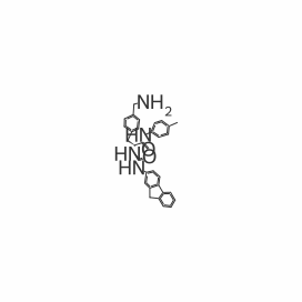 Cc1ccc(NC(=O)[C@H](Cc2ccc(CN)cc2)NC(=O)Nc2ccc3c(c2)Cc2ccccc2-3)cc1